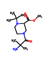 COC(=O)C1CN(C(=O)C(C)(C)N)CCN1C(C)(C)C